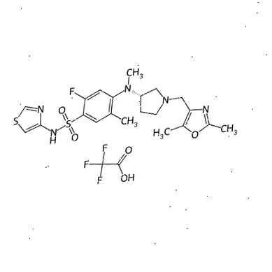 Cc1nc(CN2CC[C@H](N(C)c3cc(F)c(S(=O)(=O)Nc4cscn4)cc3C)C2)c(C)o1.O=C(O)C(F)(F)F